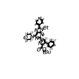 CCn1c(-c2ccncc2)nc2c(N3CCOCC3)nc(-n3cc(-c4ccccc4)c(C(=O)OC(C)(C)C)n3)nc21